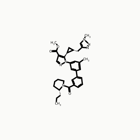 CCC[C@@H]1CCCCN1C(=O)c1cccc(-c2cc(C)cc(-n3ncc(C(=O)OC)c3[C@H]3C[C@@H]3Cc3cn(C)nn3)c2)c1